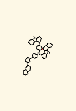 c1cc(-c2ccc(N(c3ccc(-c4cccc5sc6ccccc6c45)cc3)c3cccc4oc5c6ccccc6ccc5c34)cc2)cc(-c2ccc3ccccc3c2)c1